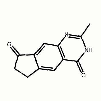 Cc1nc2cc3c(cc2c(=O)[nH]1)CCC3=O